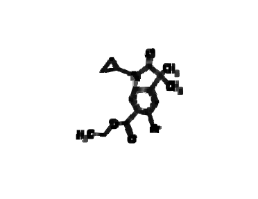 CCOC(=O)c1cc2c(cc1Br)C(C)(C)C(=O)N2C1CC1